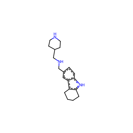 c1cc2[nH]c3c(c2cc1CNCC1CCNCC1)CCCC3